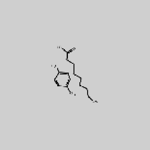 CCCCCCCCC(=O)O.Cc1ccc(C)cc1